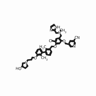 Cc1c(COc2cc(OCc3cncc(C#N)c3)c(CN(C)Cc3ncc[nH]3)cc2Cl)cccc1-c1cccc(OCCCN2CCC(O)C2)c1C